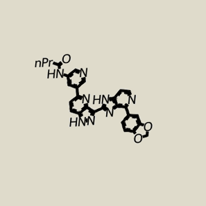 CCCC(=O)Nc1cncc(-c2ccc3[nH]nc(-c4nc5c(-c6ccc7c(c6)OCO7)nccc5[nH]4)c3n2)c1